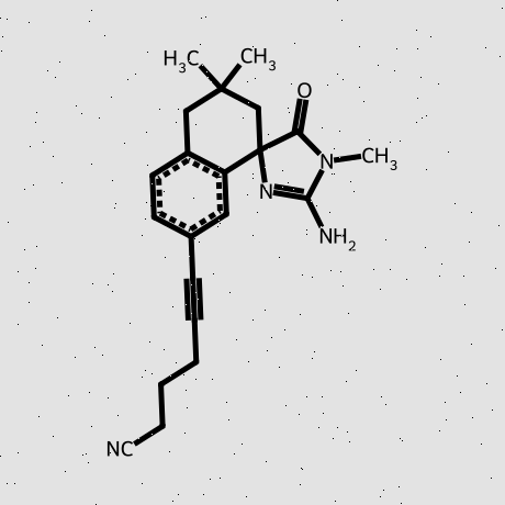 CN1C(=O)C2(CC(C)(C)Cc3ccc(C#CCCCC#N)cc32)N=C1N